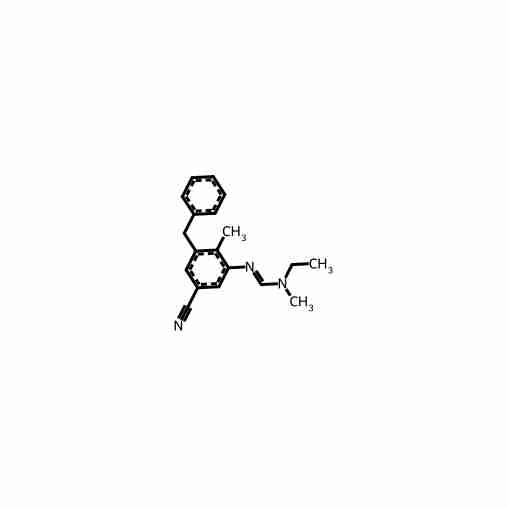 CCN(C)C=Nc1cc(C#N)cc(Cc2ccccc2)c1C